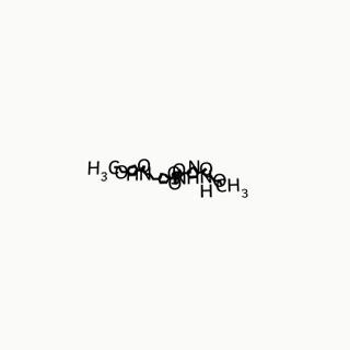 CCOc1ccc(C(=O)NCCc2ccc(S(=O)(=O)NC(=O)c3ccc(C(=O)NCCOC)nc3)cc2)cc1